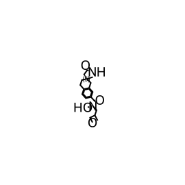 O=C1C[C@@]2(CCc3ccc(C(=O)N(O)CC4COC4)cc3C2)CN1